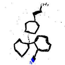 CCC[C@H]1CC[C@H](C2(c3ccccc3C#N)CCCCC2)CC1